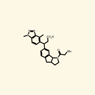 Cc1c(C(CC(=O)O)c2ccc3c(c2)C2C(CCN2C(=O)CC(C)(C)C)C3)ccc2c1nnn2C